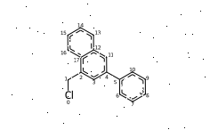 ClCc1cc(-c2ccccc2)cc2ccccc12